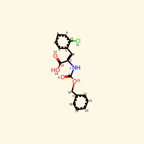 O=C(N/C(=C/c1ccccc1Cl)C(=O)O)OCc1ccccc1